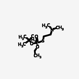 CCOP(=O)(OC(C)(C)C)SCCN(C)C